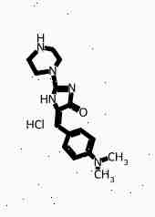 CN(C)c1ccc(C=C2NC(N3CCNCC3)=NC2=O)cc1.Cl